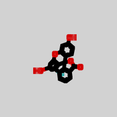 O=C1OC2(c3ccc(O)cc3Oc3cc(O)cc(F)c32)c2ccccc21